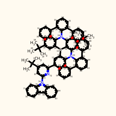 CC(C)(C)c1cc(-c2ccc3c(c2)B2c4cc(C(C)(C)C)ccc4N(c4c(-c5ccccc5)cccc4-c4ccccc4)c4cc(C(C)(C)C)cc(c42)N3c2c(-c3ccccc3)cccc2-c2ccccc2)nc(-n2c3ccccc3c3ccccc32)c1